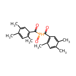 Cc1cc(C)c(C(=O)[PH](=O)C(=O)c2cc(C)c(C)cc2C)cc1C